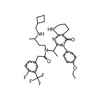 CCOc1ccc(-n2c(C(C)N(CCC(C)NCC3CCC3)C(=O)Cc3ccc(F)c(C(F)(F)F)c3)nc3c(c2=O)CCCN3)cc1